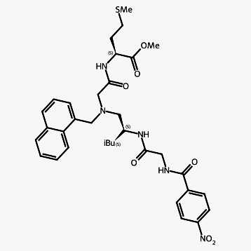 CC[C@H](C)[C@@H](CN(CC(=O)N[C@@H](CCSC)C(=O)OC)Cc1cccc2ccccc12)NC(=O)CNC(=O)c1ccc([N+](=O)[O-])cc1